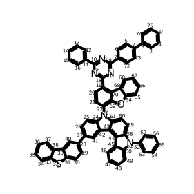 c1ccc(-c2ccc(-c3nc(-c4ccccc4)nc(-c4ccc(-n5c6ccc(-c7ccc8sc9ccccc9c8c7)cc6c6c7c8ccccc8n(-c8ccccc8)c7ccc65)c5oc6ccccc6c45)n3)cc2)cc1